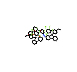 C=Cc1ccc(C2(c3c(F)c(F)c(F)c(F)c3F)c3ccccc3-c3ccc(N(c4cccc(-c5cccc(-c6ccccc6)c5)c4)c4ccc5c(c4)C(c4ccc(C=C)cc4)(c4c(F)c(F)c(F)c(F)c4F)c4ccccc4-5)cc32)cc1